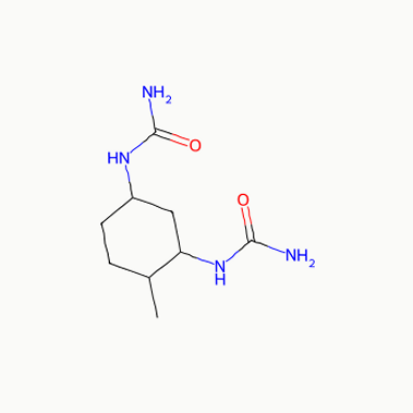 CC1CCC(NC(N)=O)CC1NC(N)=O